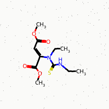 CCNC(=S)N(CC)/C(=C\C(=O)OC)C(=O)OC